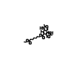 CCOC(=O)CCCCCCOC(=O)c1c(I)c(NC(C)=O)c(I)c(NC(C)=O)c1I